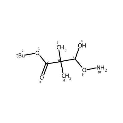 CC(C)(C)OC(=O)C(C)(C)C(O)ON